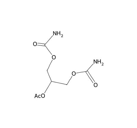 CC(=O)OC(COC(N)=O)COC(N)=O